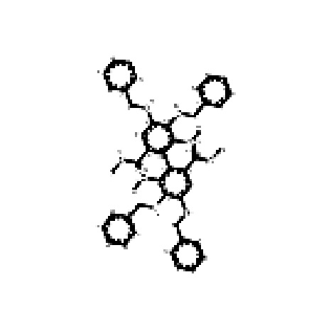 COC(=O)c1cc(OCc2ccccc2)c(OCc2ccccc2)c(OC)c1-c1c(C(=O)OC)cc(OCc2ccccc2)c(OCc2ccccc2)c1OC